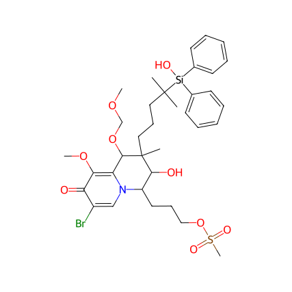 COCOC1c2c(OC)c(=O)c(Br)cn2C(CCCOS(C)(=O)=O)C(O)C1(C)CCCC(C)(C)[Si](O)(c1ccccc1)c1ccccc1